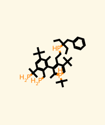 CCC(CC)(Cc1ccccc1)PCCC1=C(c2c(C)c(C(C)(C)C)cc(C(C)(C)P)c2CP)C(C)=[PH](C(C)(C)C)C=C1C(C)(C)C